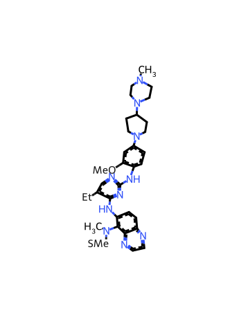 CCc1cnc(Nc2ccc(N3CCC(N4CCN(C)CC4)CC3)cc2OC)nc1Nc1ccc2nccnc2c1N(C)SC